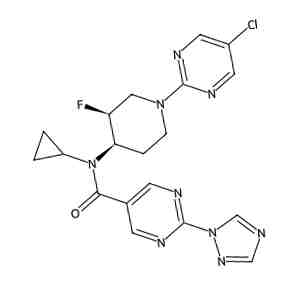 O=C(c1cnc(-n2cncn2)nc1)N(C1CC1)[C@@H]1CCN(c2ncc(Cl)cn2)C[C@@H]1F